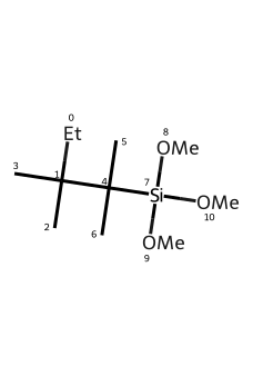 CCC(C)(C)C(C)(C)[Si](OC)(OC)OC